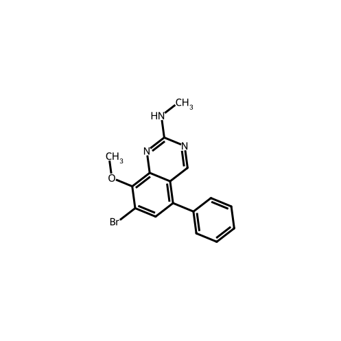 CNc1ncc2c(-c3ccccc3)cc(Br)c(OC)c2n1